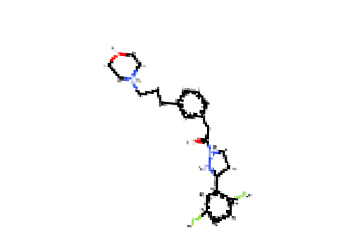 O=C(Cc1cccc([CH]CCN2CCOCC2)c1)N1CCC(c2cc(F)ccc2F)=N1